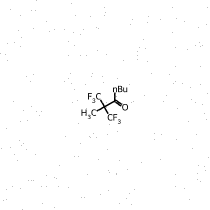 CCCCC(=O)C(C)(C(F)(F)F)C(F)(F)F